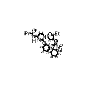 CC[C@H]1O[C@@H](n2ccc(NC(=O)C(C)C)nc2=O)CC1O[P@]1O[C@]2(c3ccccc3)CCCC[C@@H]2N1C